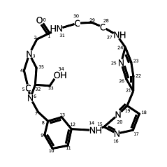 O=C1CN2CCN(Cc3cccc(c3)Nc3nccc(n3)-c3ccc(nc3)NCCCN1)C(CO)C2